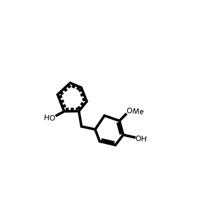 COC1=C(O)C=CC(Cc2ccccc2O)C1